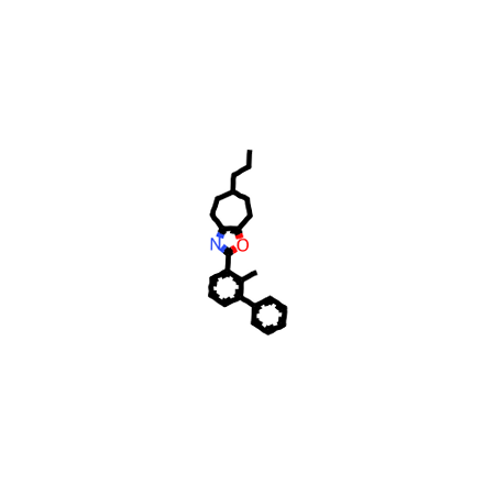 CCCC1CCc2nc(-c3cccc(-c4ccccc4)c3C)oc2CC1